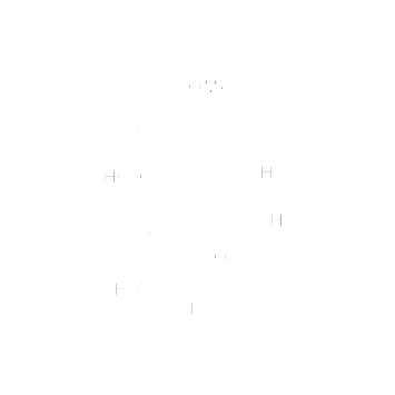 CCC1(C)O[C@@](C)(C(=O)O)[C@@](CC(=O)OC)(C(=O)O)O1